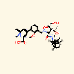 C=C(/C=C(\C=C\C(=O)O)c1cccc(CN2O[C@@H](CO)[C@@H]([C@H](C)O)[C@H]2C(=O)N[C@H]2C[C@H]3C[C@@H]([C@@H]2C)C3(C)C)c1OC)N(C)C